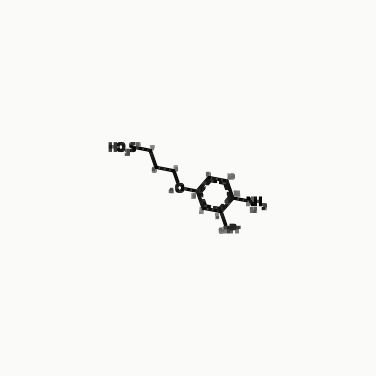 CCCc1cc(OCCCS(=O)(=O)O)ccc1N